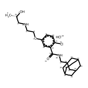 C[C@H](O)CNCCOc1ccc(Cl)c(C(=O)NCC23CC4CC(CC(C4)C2)C3)c1.Cl